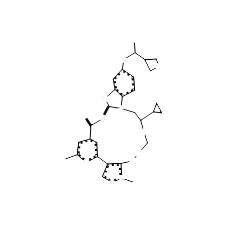 Cc1cc2cc(n1)-c1cnn(C)c1OCCCC(C1CC1)CN1/C(=N/C2=O)Nc2cc(NC(C)C3COC3)ccc21